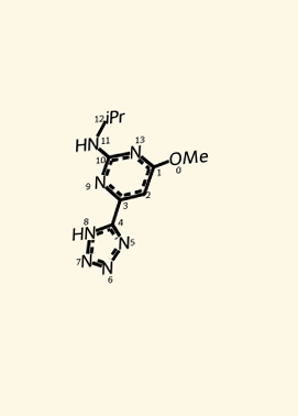 COc1cc(-c2nnn[nH]2)nc(NC(C)C)n1